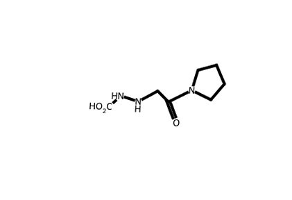 O=C(O)NNCC(=O)N1CCCC1